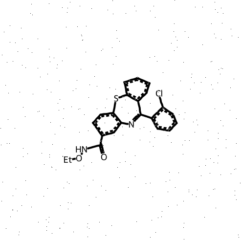 CCONC(=O)c1ccc2c(c1)N=C(c1ccccc1Cl)c1ccccc1S2